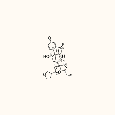 C[C@@H]1C[C@H]2[C@@H]3C[C@H](F)C4=CC(=O)C=C[C@]4(C)C3(F)[C@@H](O)C[C@]2(C)[C@@]1(OC(=O)C1CCOC1)C(=O)SCF